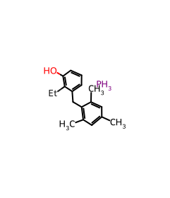 CCc1c(O)cccc1Cc1c(C)cc(C)cc1C.P